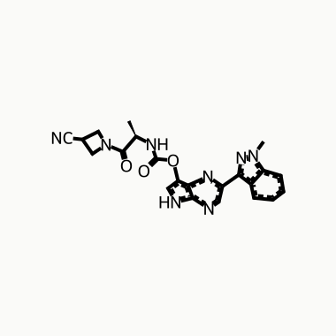 C[C@@H](NC(=O)Oc1c[nH]c2ncc(-c3nn(C)c4ccccc34)nc12)C(=O)N1CC(C#N)C1